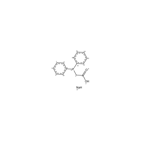 O=C(O)CP(c1ccccc1)c1ccccc1.[NaH]